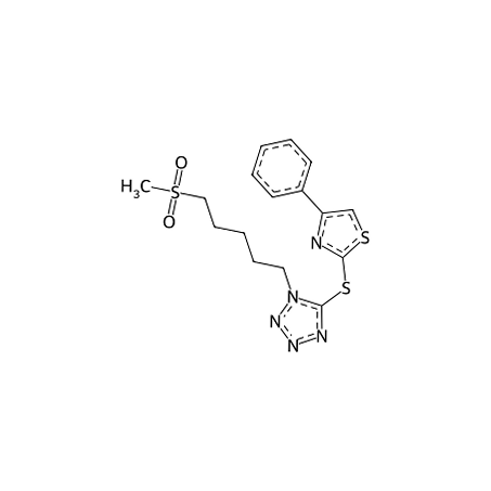 CS(=O)(=O)CCCCCn1nnnc1Sc1nc(-c2ccccc2)cs1